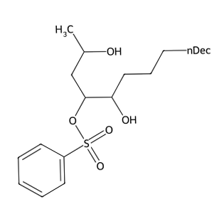 CCCCCCCCCCCCCC(O)C(CC(C)O)OS(=O)(=O)c1ccccc1